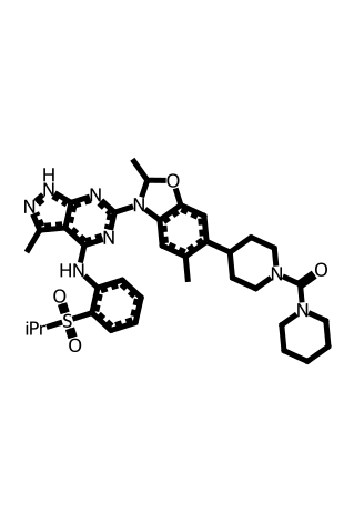 Cc1cc2c(cc1C1CCN(C(=O)N3CCCCC3)CC1)OC(C)N2c1nc(Nc2ccccc2S(=O)(=O)C(C)C)c2c(C)n[nH]c2n1